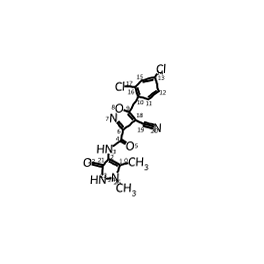 Cc1c(NC(=O)c2noc(-c3ccc(Cl)cc3Cl)c2C#N)c(=O)[nH]n1C